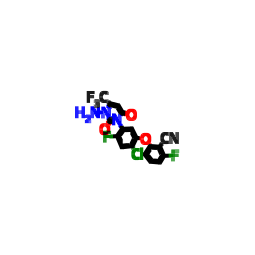 N#Cc1c(F)cccc1Oc1cc(-n2c(=O)cc(C(F)(F)F)n(N)c2=O)c(F)cc1Cl